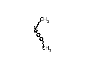 CCCCC=CCOc1ccc(-c2ccc(-c3ccc(CCCCC)cc3)cc2)s1